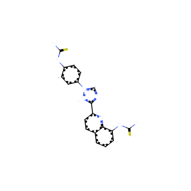 NC(=S)Nc1ccc(-n2cnc(-c3ccc4cccc(NC(N)=S)c4n3)n2)cc1